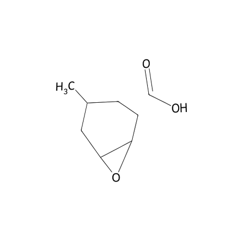 CC1CCC2OC2C1.O=CO